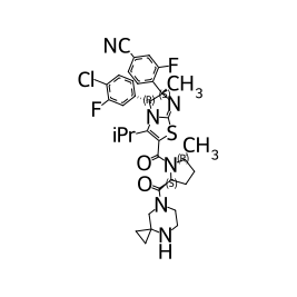 CC(C)C1=C(C(=O)N2[C@H](C)CC[C@H]2C(=O)N2CCNC3(CC3)C2)SC2=N[C@@](C)(c3ccc(C#N)cc3F)[C@@H](c3ccc(Cl)c(F)c3)N21